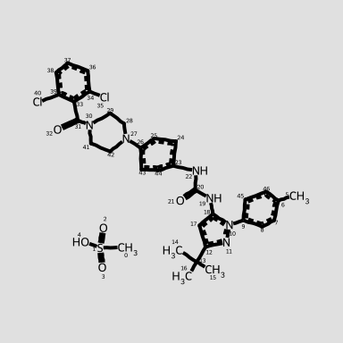 CS(=O)(=O)O.Cc1ccc(-n2nc(C(C)(C)C)cc2NC(=O)Nc2ccc(N3CCN(C(=O)c4c(Cl)cccc4Cl)CC3)cc2)cc1